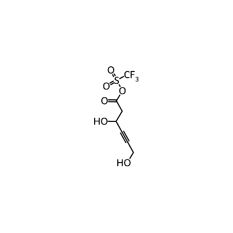 O=C(CC(O)C#CCO)OS(=O)(=O)C(F)(F)F